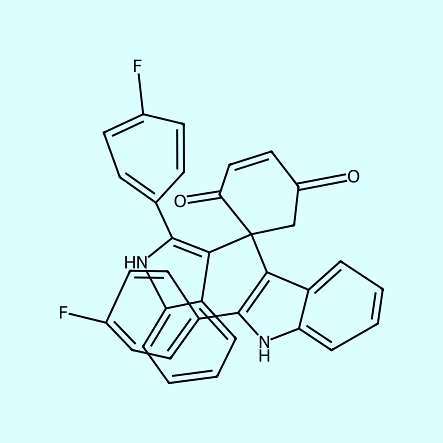 O=C1C=CC(=O)C(c2c(-c3ccc(F)cc3)[nH]c3ccccc23)(c2c(-c3ccc(F)cc3)[nH]c3ccccc23)C1